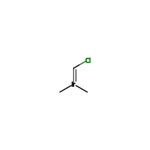 [CH3][Ir]([CH3])=[CH]Cl